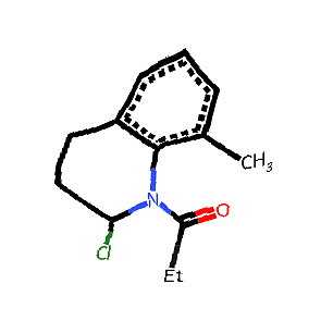 CCC(=O)N1c2c(C)cccc2CCC1Cl